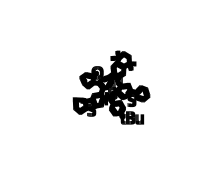 CC(C)(C)c1ccc(N2B3c4cc5sc6ccccc6c5cc4-n4c5cc6c(cc5c5c7oc8ccccc8c7c(c3c54)-c3cc4c(cc32)sc2ccccc24)C(C)(C)CCC6(C)C)cc1